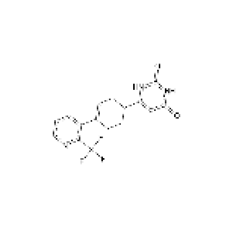 O=c1cc(C2CC=C(c3cccnc3C(F)(F)F)CC2)[nH]c(=O)[nH]1